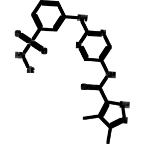 CCNS(=O)(=O)c1cccc(Nc2ncc(NC(=O)c3[nH]nc(C)c3C)cn2)c1